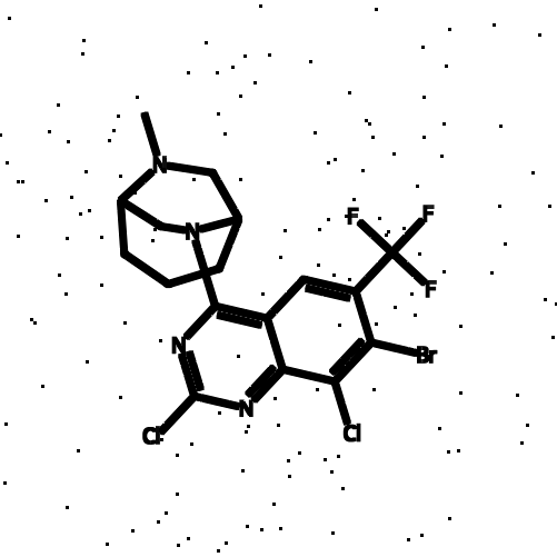 CN1CC2CCCC1CN2c1nc(Cl)nc2c(Cl)c(Br)c(C(F)(F)F)cc12